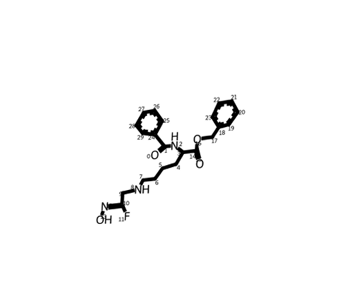 O=C(NC(CCCCNCC(F)=NO)C(=O)OCc1ccccc1)c1ccccc1